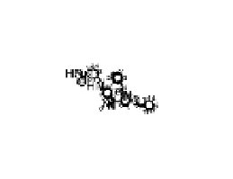 Cn1nc(-c2ccc(OCc3ccccc3)nc2OCc2ccccc2)c2ccc(NCC3CCCN(C(=O)O)C3)cc21